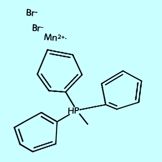 C[PH](c1ccccc1)(c1ccccc1)c1ccccc1.[Br-].[Br-].[Mn+2]